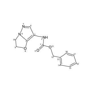 O=C(Nc1cnn2c1OCC2)OCc1ccccc1